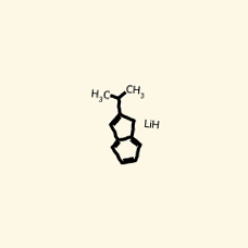 CC(C)C1=Cc2ccccc2C1.[LiH]